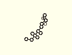 c1ccc(-c2cccc(-c3c4ccccc4c(-c4ccc(-c5ccc6c(ccc7c6oc6ccc8c9ccccc9oc8c67)c5)c5ccccc45)c4ccccc34)c2)cc1